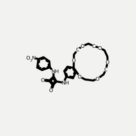 O=c1c(Nc2ccc([N+](=O)[O-])cc2)c(Nc2ccc3c(c2)OCCOCCOCCOCCOCCO3)c1=O